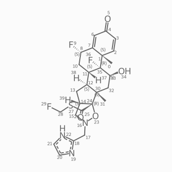 C[C@]12C=CC(=O)C=C1[C@@H](F)C[C@H]1[C@@H]3C[C@H]4CN(Cc5ncc[nH]5)O[C@@]4(C(=O)SCF)[C@@]3(C)C[C@H](O)[C@@]12F